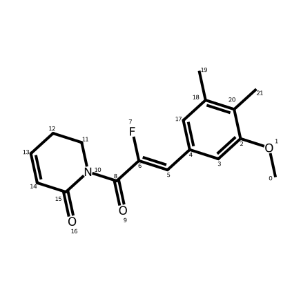 COc1cc(/C=C(\F)C(=O)N2CCC=CC2=O)cc(C)c1C